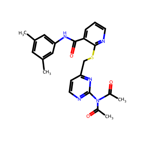 CC(=O)N(C(C)=O)c1nccc(CSc2ncccc2C(=O)Nc2cc(C)cc(C)c2)n1